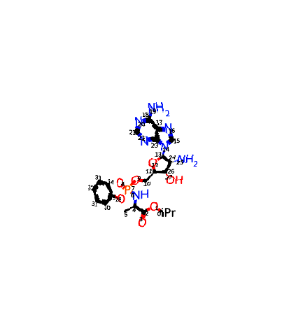 CC(C)OC(=O)[C@@H](C)NP(=O)(OC[C@H]1O[C@@H](n2cnc3c(N)ncnc32)[C@H](N)[C@@H]1O)Oc1ccccc1